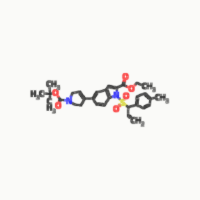 C=CC(c1ccc(C)cc1)S(=O)(=O)n1c(C(=O)OCC)cc2cc(C3=CCN(C(=O)OC(C)(C)C)CC3)ccc21